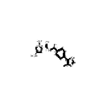 [2H]N1C[C@H](O)C[C@H]1C(=O)N[C@@H](C)c1ccc(-c2scnc2C)cc1